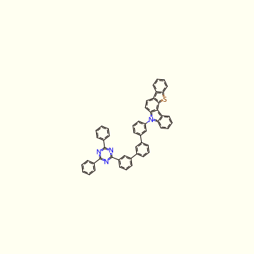 c1ccc(-c2nc(-c3ccccc3)nc(-c3cccc(-c4cccc(-c5cccc(-n6c7ccccc7c7c8sc9ccccc9c8ccc76)c5)c4)c3)n2)cc1